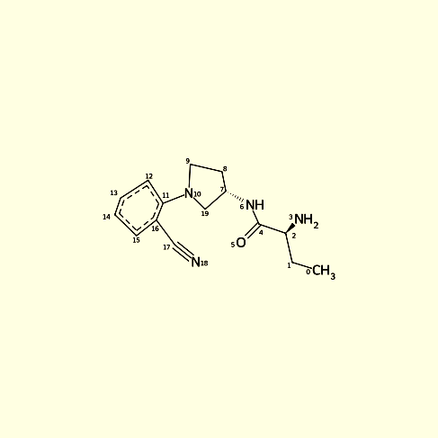 CC[C@H](N)C(=O)N[C@H]1CCN(c2ccccc2C#N)C1